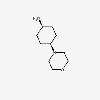 N[C@H]1CC[C@@H](N2CCOCC2)CC1